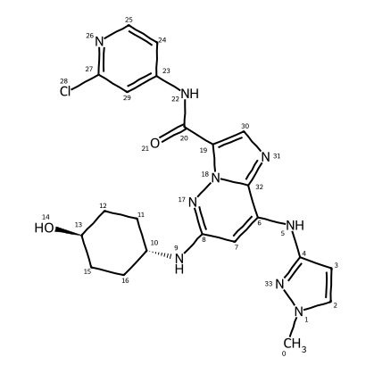 Cn1ccc(Nc2cc(N[C@H]3CC[C@H](O)CC3)nn3c(C(=O)Nc4ccnc(Cl)c4)cnc23)n1